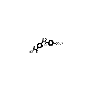 O=C(O)c1ccc(S(=O)(=O)Nc2ccc(C(=O)NO)cc2)cc1